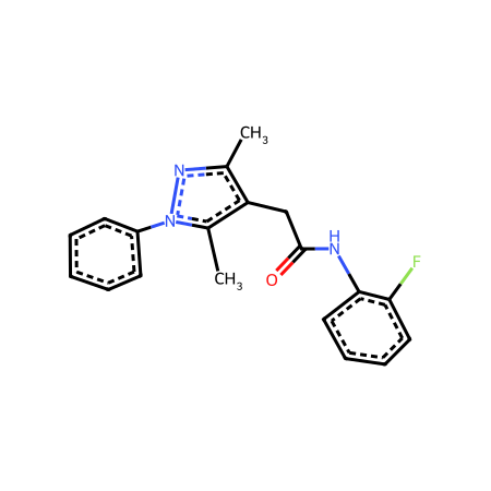 Cc1nn(-c2ccccc2)c(C)c1CC(=O)Nc1ccccc1F